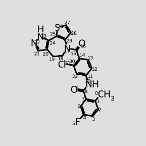 Cc1ccc(F)cc1C(=O)Nc1ccc(C(=O)N2CCc3cn[nH]c3-c3sccc32)c(Cl)c1